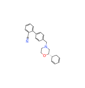 N#Cc1ccccc1-c1ccc(CN2CCO[C@@H](C3C=CC=CC3)C2)cc1